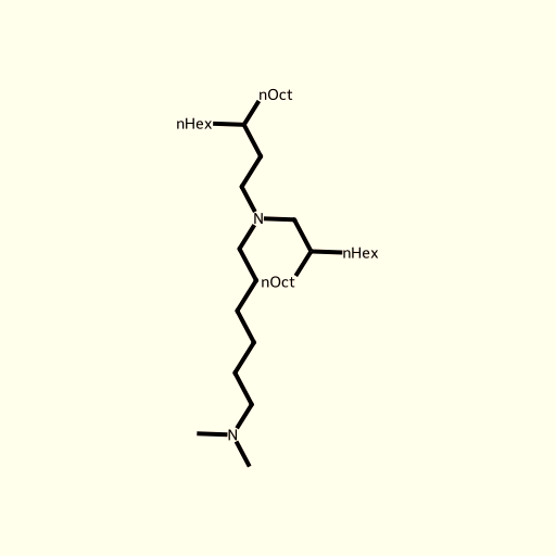 CCCCCCCCC(CCCCCC)CCN(CCCCCCN(C)C)CC(CCCCCC)CCCCCCCC